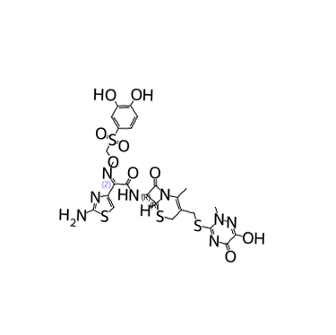 CC1=C(CSc2nc(=O)c(O)nn2C)CS[C@@H]2[C@H](NC(=O)/C(=N\OCS(=O)(=O)c3ccc(O)c(O)c3)c3csc(N)n3)C(=O)N12